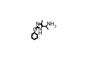 Cc1nc(Oc2ccccc2)[nH]c1C(C)N